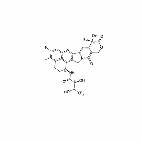 CC[C@@]1(O)C(=O)OCc2c1cc1n(c2=O)Cc2c-1nc1cc(F)c(C)c3c1c2[C@@H](NC(=O)[C@@H](O)C(O)C(F)(F)F)CC3